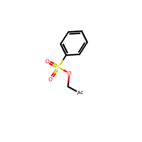 CC(=O)COS(=O)(=O)c1ccccc1